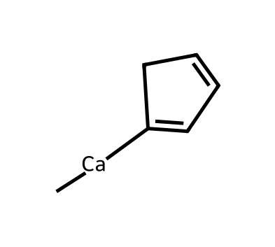 [CH3][Ca][C]1=CC=CC1